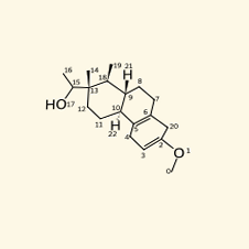 COC1=CCC2=C(CC[C@@H]3[C@@H]2CC[C@](C)(C(C)O)[C@H]3C)C1